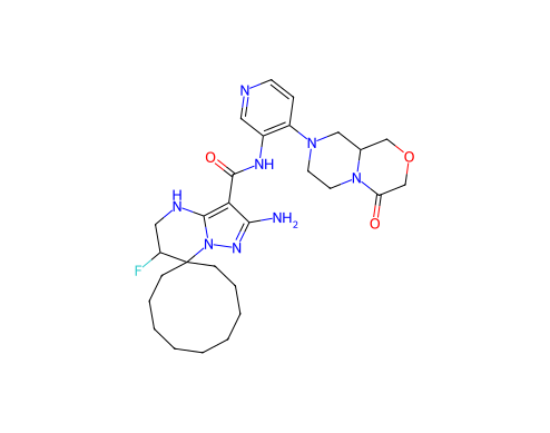 Nc1nn2c(c1C(=O)Nc1cnccc1N1CCN3C(=O)COCC3C1)NCC(F)C21CCCCCCCCC1